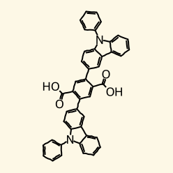 O=C(O)c1cc(-c2ccc3c(c2)c2ccccc2n3-c2ccccc2)c(C(=O)O)cc1-c1ccc2c(c1)c1ccccc1n2-c1ccccc1